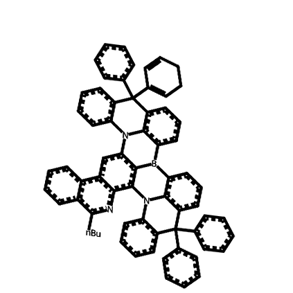 CCCCc1nc2c3c4c(cc2c2ccccc12)N1c2ccccc2C(C2=CCCC=C2)(c2ccccc2)c2cccc(c21)B4c1cccc2c1N3c1ccccc1C2(c1ccccc1)c1ccccc1